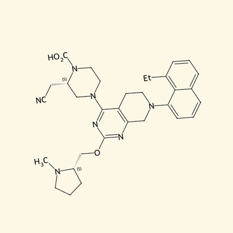 CCc1cccc2cccc(N3CCc4c(nc(OC[C@@H]5CCCN5C)nc4N4CCN(C(=O)O)[C@@H](CC#N)C4)C3)c12